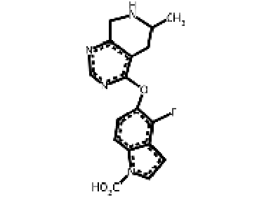 CC1Cc2c(ncnc2Oc2ccc3c(ccn3C(=O)O)c2F)CN1